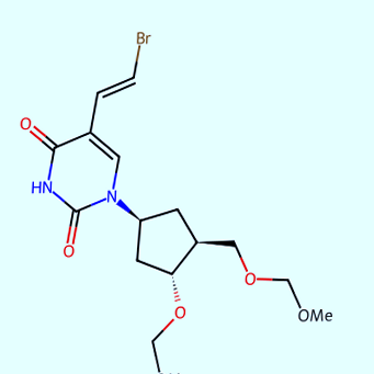 COCOC[C@@H]1C[C@H](n2cc(/C=C/Br)c(=O)[nH]c2=O)C[C@H]1OCOC